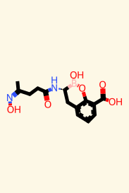 C/C(CCC(=O)N[C@H]1Cc2cccc(C(=O)O)c2OB1O)=N/O